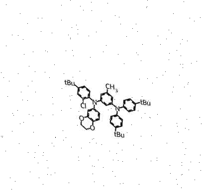 Cc1cc(N(c2ccc(C(C)(C)C)cc2)c2ccc(C(C)(C)C)cc2)cc(N(c2ccc3c(c2)OCCO3)c2ccc(C(C)(C)C)cc2Cl)c1